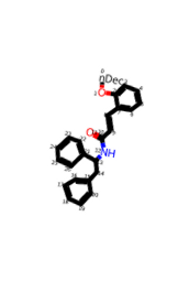 CCCCCCCCCCOc1ccccc1C=CC(=O)NC(Cc1ccccc1)c1ccccc1